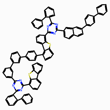 c1ccc(-c2ccc(-c3ccc4ccc(-c5nc(-c6ccccc6-c6ccccc6)nc(-c6cccc7c6sc6cccc(-c8ccc(-c9cccc(-c%10cccc(-c%11nc(-c%12ccccc%12-c%12ccccc%12)nc(-c%12cccc%13c%12sc%12ccccc%12%13)n%11)c%10)c9)cc8)c67)n5)cc4c3)cc2)cc1